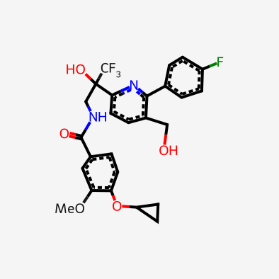 COc1cc(C(=O)NCC(O)(c2ccc(CO)c(-c3ccc(F)cc3)n2)C(F)(F)F)ccc1OC1CC1